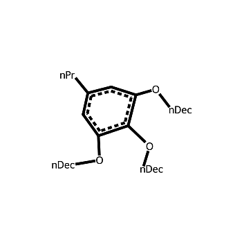 [CH2]CCc1cc(OCCCCCCCCCC)c(OCCCCCCCCCC)c(OCCCCCCCCCC)c1